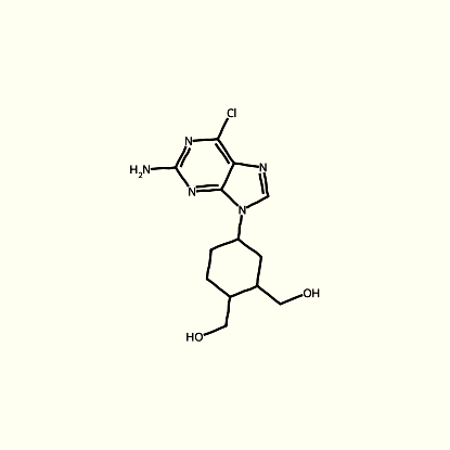 Nc1nc(Cl)c2ncn(C3CCC(CO)C(CO)C3)c2n1